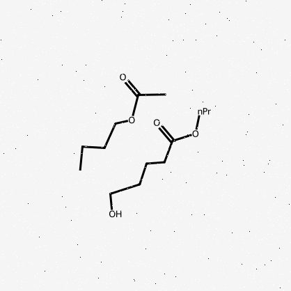 CCCCOC(C)=O.CCCOC(=O)CCCCO